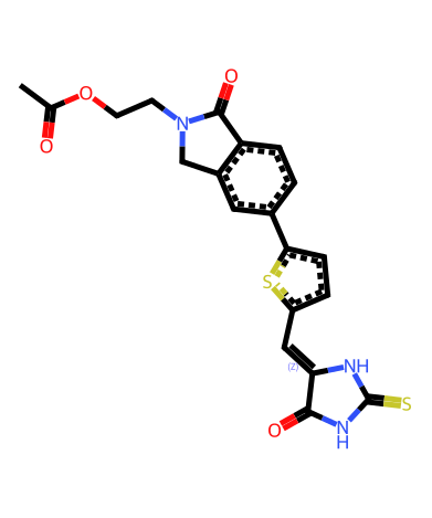 CC(=O)OCCN1Cc2cc(-c3ccc(/C=C4\NC(=S)NC4=O)s3)ccc2C1=O